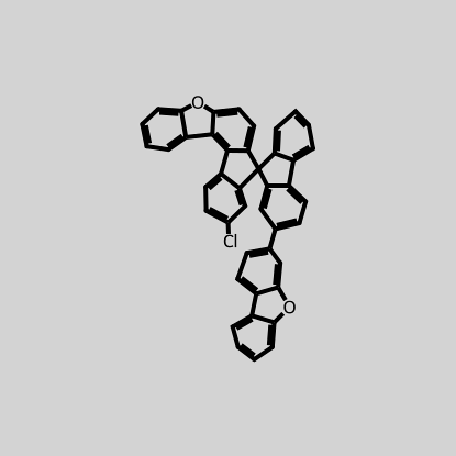 Clc1ccc2c(c1)C1(c3ccccc3-c3ccc(-c4ccc5c(c4)oc4ccccc45)cc31)c1ccc3oc4ccccc4c3c1-2